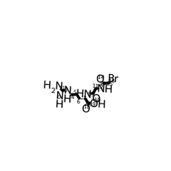 N=C(N)NCCC[C@H](NC(=O)CNC(=O)CBr)C(=O)O